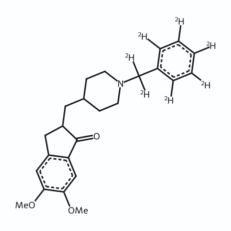 [2H]c1c([2H])c([2H])c(C([2H])([2H])N2CCC(CC3Cc4cc(OC)c(OC)cc4C3=O)CC2)c([2H])c1[2H]